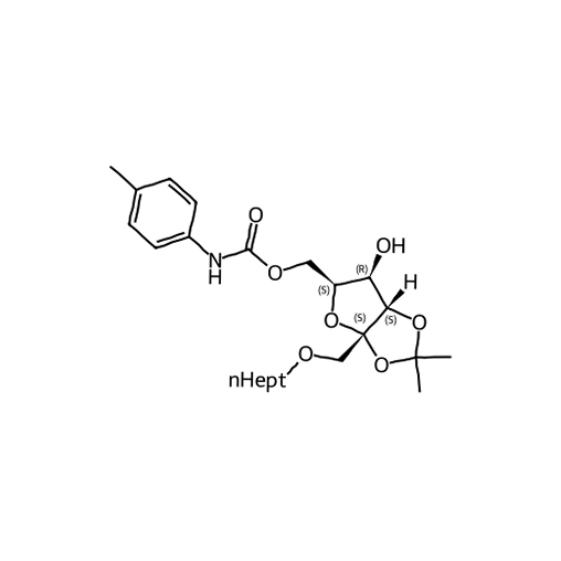 CCCCCCCOC[C@@]12O[C@@H](COC(=O)Nc3ccc(C)cc3)[C@@H](O)[C@@H]1OC(C)(C)O2